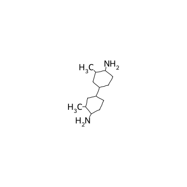 CC1CC(C2CCC(N)C(C)C2)CCC1N